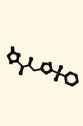 O=C(Cc1csc(S(=O)(=O)c2ccccc2)c1)C(=O)c1nc[nH]n1